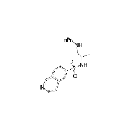 CCCNCC(C)NS(=O)(=O)c1ccc2cnccc2c1